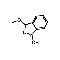 COC1ON(O)c2ccccc21